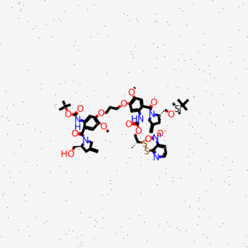 C=C1C[C@@H](CO[Si](C)(C)C(C)(C)C)N(C(=O)c2cc(OC)c(OCCCOc3cc(NC(=O)OC(C)(C)C)c(C(=O)N4CC(=C)C[C@H]4CO)cc3OC)cc2NC(=O)OC[C@@H](C)SSc2ncccc2[N+](=O)[O-])C1